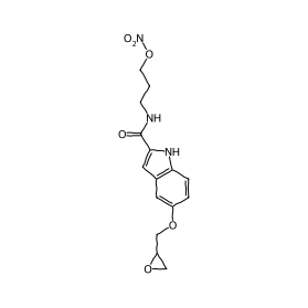 O=C(NCCCO[N+](=O)[O-])c1cc2cc(OCC3CO3)ccc2[nH]1